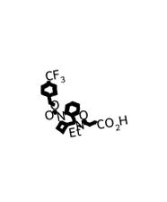 CCN(C(=O)CCC(=O)O)C1c2ccccc2N(C(=O)OCc2ccc(C(F)(F)F)cc2)C2CCC12